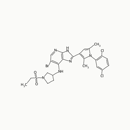 CCS(=O)(=O)N1CCC(Nc2c(Br)cnc3[nH]c(-c4cc(C)n(-c5cc(Cl)ccc5Cl)c4C)nc23)C1